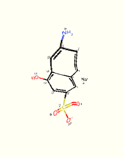 Nc1ccc2cc(S(=O)(=O)[O-])cc(O)c2c1.[Na+]